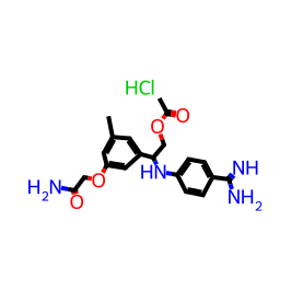 CC(=O)OCC(Nc1ccc(C(=N)N)cc1)c1cc(C)cc(OCC(N)=O)c1.Cl